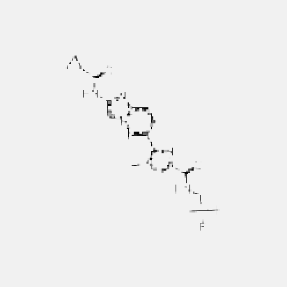 Cc1sc(C(=O)NCC(F)(F)F)nc1-c1ccc2nc(NC(=O)C3CC3)cn2n1